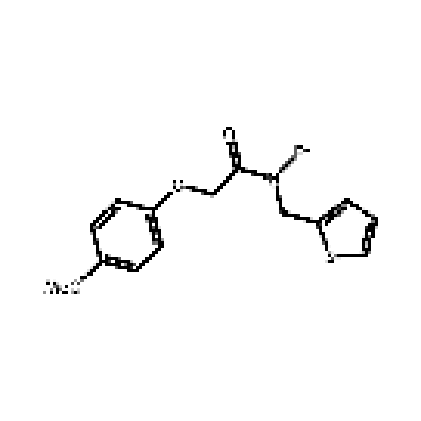 CCN(Cc1cccs1)C(=O)COc1ccc(OC)cc1